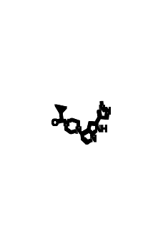 Cn1cc(-c2cc3c(N4CCN(C(=O)C5CC5)CC4)ccnc3[nH]2)cn1